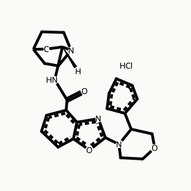 Cl.O=C(N[C@@H]1CC2CCN1CC2)c1cccc2oc(N3CCOCC3c3ccccc3)nc12